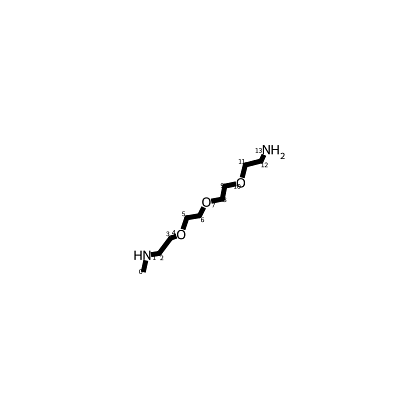 CNCCOCCOCCOCCN